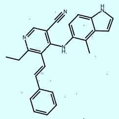 CCc1ncc(C#N)c(Nc2ccc3[nH]ccc3c2C)c1/C=C/c1ccccc1